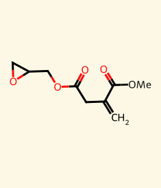 C=C(CC(=O)OCC1CO1)C(=O)OC